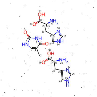 Cc1c[nH]c(=O)[nH]c1=O.N[C@@H](Cc1c[nH]cn1)C(=O)O.N[C@@H](Cc1c[nH]cn1)C(=O)O